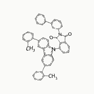 Cc1ccccc1-c1ccc2c(c1)c1cc(-c3ccccc3C)ccc1n2-c1cccc2c1C(=O)N(c1cccc(-c3ccccc3)c1)C2=O